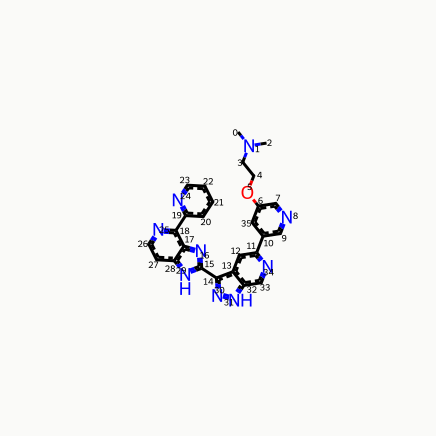 CN(C)CCOc1cncc(-c2cc3c(-c4nc5c(-c6ccccn6)nccc5[nH]4)n[nH]c3cn2)c1